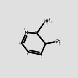 CCC1C=CC=NC1N